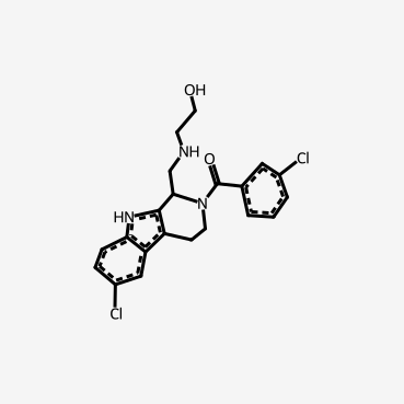 O=C(c1cccc(Cl)c1)N1CCc2c([nH]c3ccc(Cl)cc23)C1CNCCO